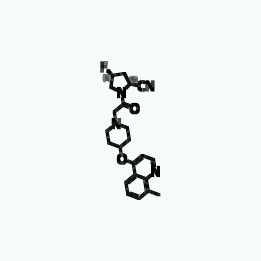 Cc1cccc2c(OC3CCN(CC(=O)N4C[C@@H](F)C[C@H]4C#N)CC3)ccnc12